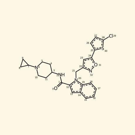 O=C(NC1CCN(C2CC2)CC1)c1cc2ccccc2n1Cc1cc(-c2ccc(Cl)s2)on1